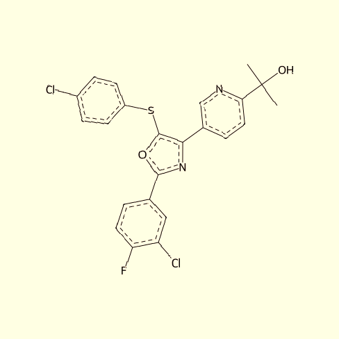 CC(C)(O)c1ccc(-c2nc(-c3ccc(F)c(Cl)c3)oc2Sc2ccc(Cl)cc2)cn1